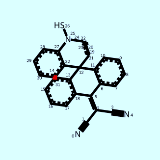 N#CC(C#N)=C1c2ccccc2C2(c3ccccc31)c1ccccc1N(S)c1ccccc12